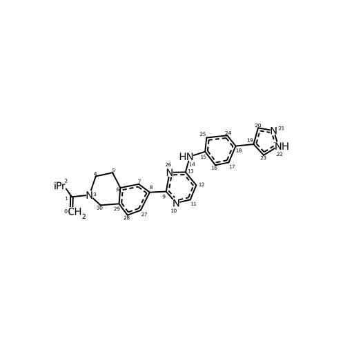 C=C(C(C)C)N1CCc2cc(-c3nccc(Nc4ccc(-c5cn[nH]c5)cc4)n3)ccc2C1